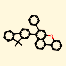 CC1(C)c2ccccc2-c2ccc(-c3c(-c4ccccc4)cc4c5c(cccc35)-c3ccccc3O4)cc21